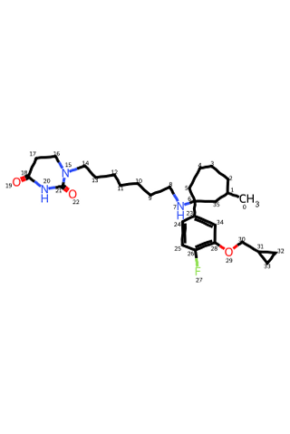 CC1CCCCC(NCCCCCCCN2CCC(=O)NC2=O)(c2ccc(F)c(OCC3CC3)c2)C1